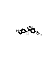 COc1cc2ncnc(Nc3ccc4[nH]ccc4c3)c2cc1I